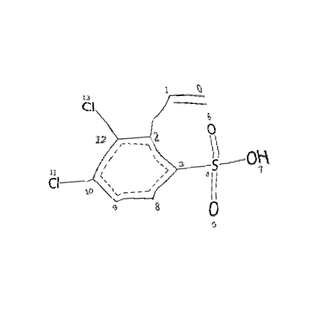 C=Cc1c(S(=O)(=O)O)ccc(Cl)c1Cl